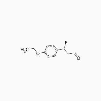 CCOc1ccc(C(F)CC=O)cc1